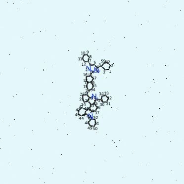 c1ccc(-c2cc(-c3ccccc3)nc(-c3ccc4cc(-c5cccc6c5nc(-c5ccccc5)c5ccc7c(c8ccccc8n7-c7ccccc7)c56)ccc4c3)n2)cc1